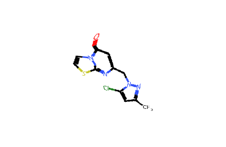 O=c1cc(Cn2nc(C(F)(F)F)cc2Cl)nc2sccn12